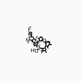 Cc1ccc2c(c1C)-c1cc(C)c(F)c(c1)[C@H](CCO)NC(=O)[C@@H](n1cc(CCN3CC(F)C3)c(C(F)(F)F)cc1=O)c1cc(ccc1F)O2